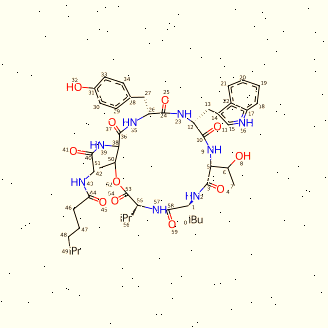 CC[C@H](C)[C@@H]1NC(=O)C(C(C)O)NC(=O)[C@@H](Cc2c[nH]c3ccccc23)NC(=O)[C@@H](Cc2ccc(O)cc2)NC(=O)C(NC(=O)CNC(=O)CCCC(C)C)C(C)OC(=O)[C@H](C(C)C)NC1=O